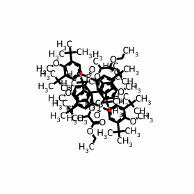 CCOC(=O)C(C)Oc1c(Cl)ccc(P(=O)(c2cc(C(C)(C)C)c(OC)c(C(C)(C)C)c2)c2cc(C(C)(C)C)c(OC)c(C(C)(C)C)c2)c1-c1c(P(=O)(c2cc(C(C)(C)C)c(OC)c(C(C)(C)C)c2)c2cc(C(C)(C)C)c(OC)c(C(C)(C)C)c2)ccc(Cl)c1OC(C)C(=O)OCC